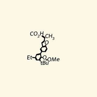 CCc1cc(-c2ccc3oc(C(C)=CC(=O)O)cc3c2)c(OCOC)c(C(C)(C)C)c1